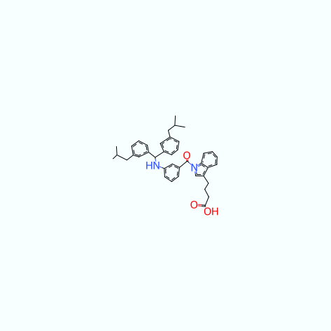 CC(C)Cc1cccc(C(Nc2cccc(C(=O)n3cc(CCCC(=O)O)c4ccccc43)c2)c2cccc(CC(C)C)c2)c1